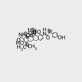 Br.CN(C)[C@@H]1C(O)=C(C(N)=O)C(=O)[C@@]2(O)C(O)=C3C(=O)c4c(ccc(NC(=O)C(Br)c5ccc(O)cc5)c4O)CC3CC12